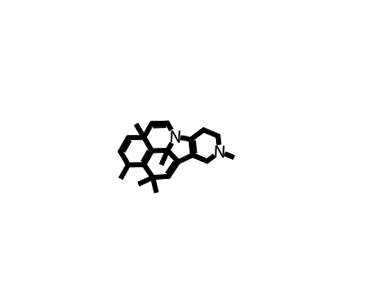 CC1C=CC2(C)C=CN3C4=C(CN(C)CC4)C4=CC(C)(C)C1=C2C43C